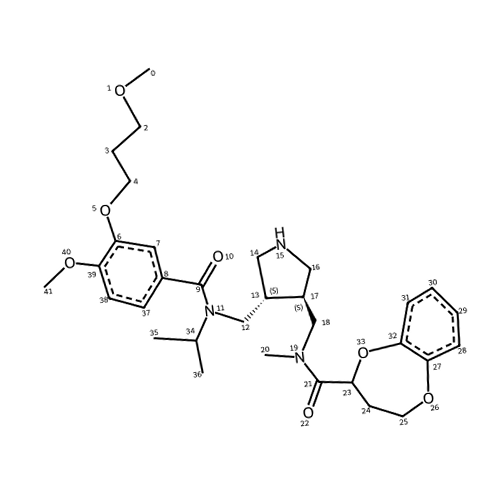 COCCCOc1cc(C(=O)N(C[C@@H]2CNC[C@H]2CN(C)C(=O)C2CCOc3ccccc3O2)C(C)C)ccc1OC